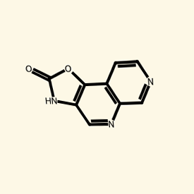 O=c1[nH]c2cnc3cnccc3c2o1